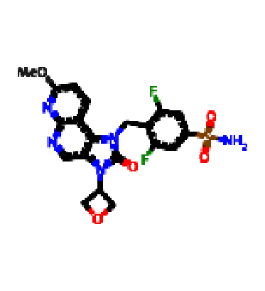 COc1ccc2c(ncc3c2n(Cc2c(F)cc(S(N)(=O)=O)cc2F)c(=O)n3C2COC2)n1